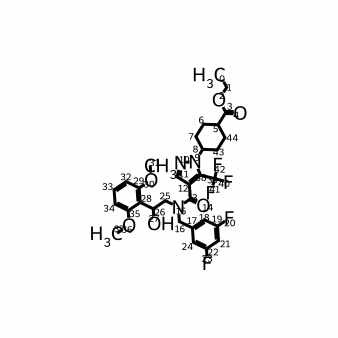 CCOC(=O)C1CCC(n2ncc(C(=O)N(Cc3cc(F)cc(F)c3)CC(O)c3c(OC)cccc3OC)c2C(F)(F)F)CC1